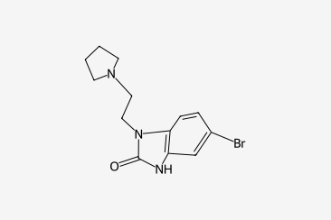 O=c1[nH]c2cc(Br)ccc2n1CCN1CCCC1